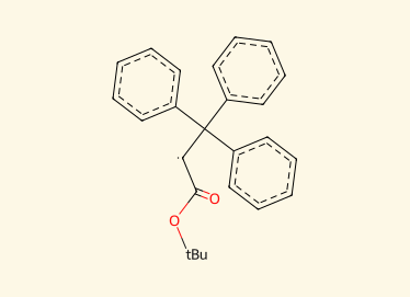 CC(C)(C)OC(=O)[CH]C(c1ccccc1)(c1ccccc1)c1ccccc1